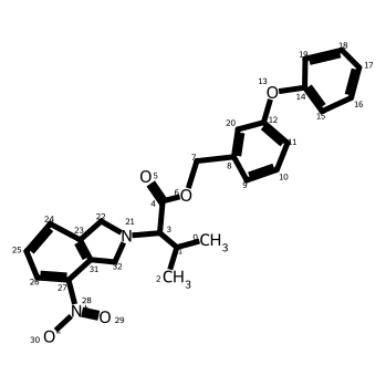 CC(C)C(C(=O)OCc1cccc(Oc2ccccc2)c1)N1Cc2cccc([N+](=O)[O-])c2C1